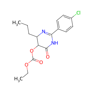 CCCC1N=C(c2ccc(Cl)cc2)NC(=O)C1OC(=O)OCC